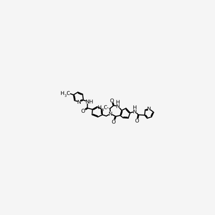 Cc1ccc(NC(=O)c2ccc(CN3C(=O)c4ccc(NC(=O)c5cccnc5)cc4NC(=O)[C@H]3C)cc2)nc1